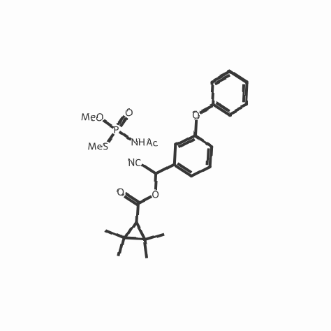 CC1(C)C(C(=O)OC(C#N)c2cccc(Oc3ccccc3)c2)C1(C)C.COP(=O)(NC(C)=O)SC